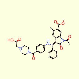 COC(=O)c1cc2c(cc1C)C(=C(Nc1ccc(C(=O)N3CCN(CC(=O)O)CC3)cc1)c1ccccc1)C(=O)N2C(C)=O